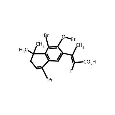 CCOc1c(C(C)=C(F)C(=O)O)cc2c(c1Br)C(C)(C)CC=C2C(C)C